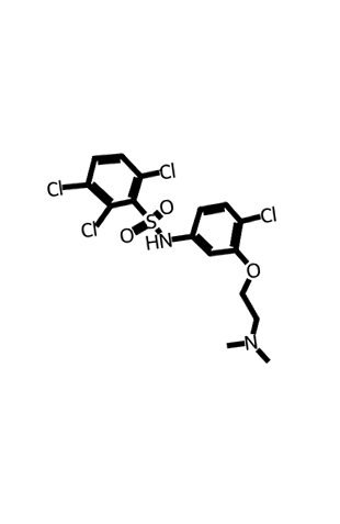 CN(C)CCOc1cc(NS(=O)(=O)c2c(Cl)ccc(Cl)c2Cl)ccc1Cl